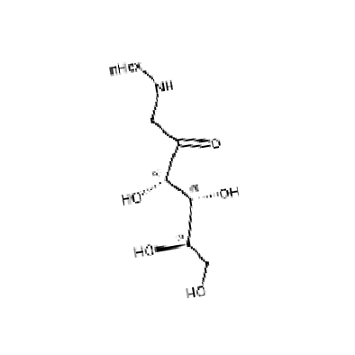 CCCCCCNCC(=O)[C@@H](O)[C@H](O)[C@H](O)CO